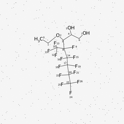 CCOC(C(O)CO)C(F)(C(F)(F)F)C(F)(F)C(F)(F)C(F)(F)C(F)(F)F